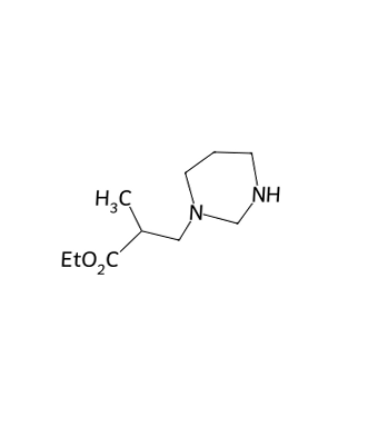 CCOC(=O)C(C)CN1CCCNC1